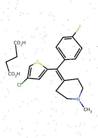 CN1CCC(=C(c2ccc(F)cc2)c2cc(Cl)cs2)CC1.O=C(O)CCC(=O)O